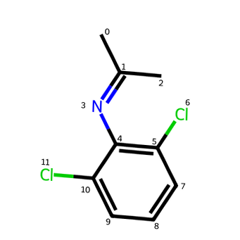 CC(C)=Nc1c(Cl)cccc1Cl